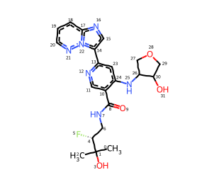 CC(C)(O)[C@H](F)CNC(=O)c1cnc(-c2cnc3cccnn23)cc1NC1COCC1O